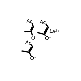 CC(=O)/C=C(\C)[O-].CC(=O)/C=C(\C)[O-].CC(=O)/C=C(\C)[O-].[La+3]